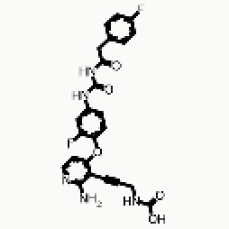 Nc1nccc(Oc2ccc(NC(=O)NC(=O)Cc3ccc(F)cc3)cc2F)c1C#CCNC(=O)O